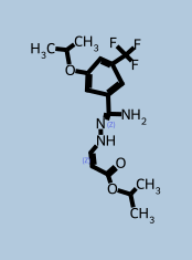 CC(C)OC(=O)/C=C\N/N=C(\N)c1cc(OC(C)C)cc(C(F)(F)F)c1